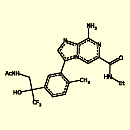 CCNC(=O)c1cn2c(-c3cc(C(O)(CNC(C)=O)C(F)(F)F)ccc3C)cnc2c(N)n1